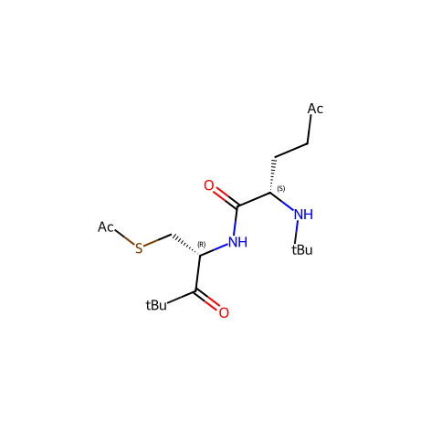 CC(=O)CC[C@H](NC(C)(C)C)C(=O)N[C@@H](CSC(C)=O)C(=O)C(C)(C)C